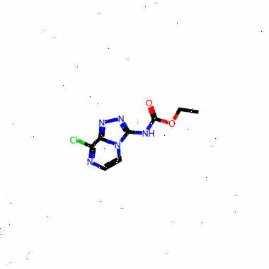 CCOC(=O)Nc1nnc2c(Cl)nccn12